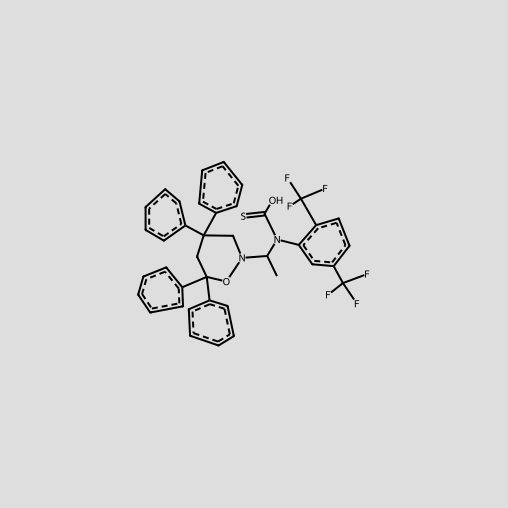 CC(N1CC(c2ccccc2)(c2ccccc2)CC(c2ccccc2)(c2ccccc2)O1)N(C(O)=S)c1cc(C(F)(F)F)ccc1C(F)(F)F